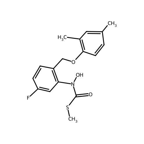 CSC(=O)N(O)c1cc(F)ccc1COc1ccc(C)cc1C